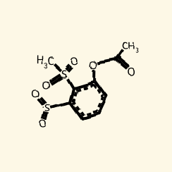 CC(=O)Oc1cccc([S](=O)=O)c1S(C)(=O)=O